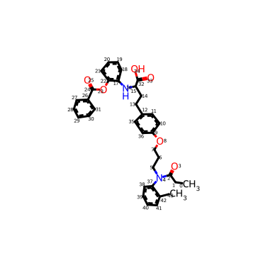 CCC(=O)N(CCCOc1ccc(CCC(Nc2ccccc2OC(=O)c2ccccc2)C(=O)O)cc1)c1ccccc1C